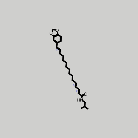 CC(C)CNC(=O)/C=C/C=C/CCCCCCCCC/C=C/c1ccc2c(c1)OCO2